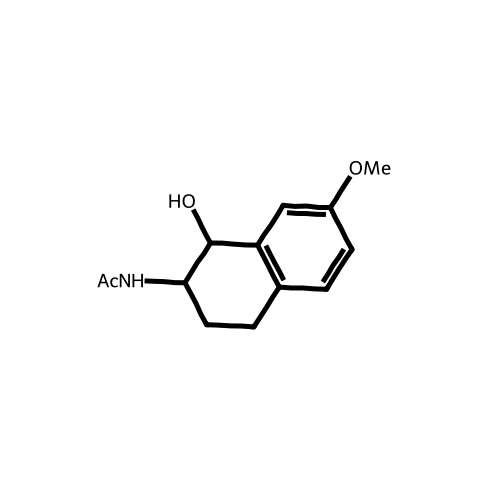 COc1ccc2c(c1)C(O)C(NC(C)=O)CC2